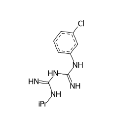 CC(C)NC(=N)NC(=N)Nc1cccc(Cl)c1